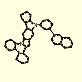 c1cc(-c2ccc3ccccc3c2)cc(-n2c3ccccc3c3cc4c(cc32)cc2c3ccccc3c3ccccc3n42)c1